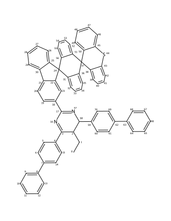 CCC1C(c2ccc(-c3ccccc3)cc2)=NC(c2ccc3c(c2)C2(c4ccccc4-3)c3ccccc3C3(c4ccccc4Sc4ccccc43)c3ccccc32)=NC1c1ccc(-c2ccccc2)cc1